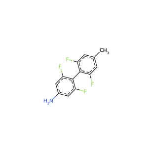 Cc1cc(F)c(-c2c(F)cc(N)cc2F)c(F)c1